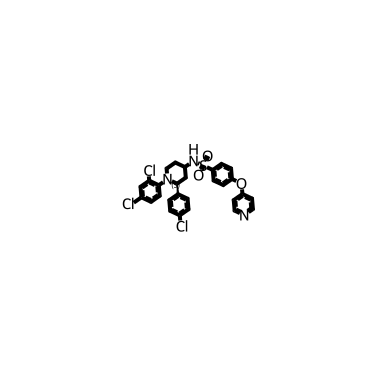 O=S(=O)(NC1CCN(c2ccc(Cl)cc2Cl)[C@H](c2ccc(Cl)cc2)C1)c1ccc(Oc2ccncc2)cc1